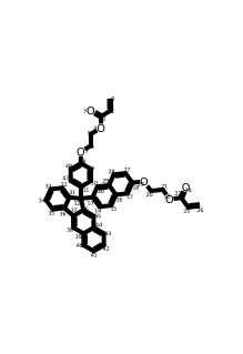 C=CC(=O)OCCOc1ccc(C2(c3ccc4cc(OCCOC(=O)C=C)ccc4c3)c3ccccc3-c3cc4ccccc4cc32)cc1